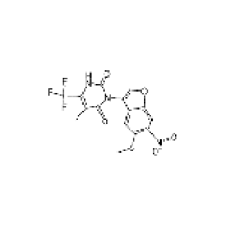 CSc1cc2c(-n3c(=O)[nH]c(C(F)(F)F)c(C)c3=O)coc2cc1[N+](=O)[O-]